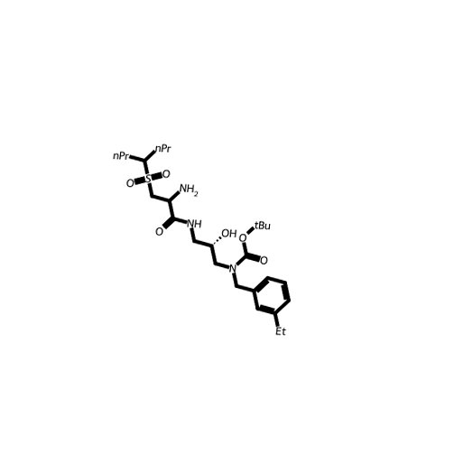 CCCC(CCC)S(=O)(=O)CC(N)C(=O)NC[C@H](O)CN(Cc1cccc(CC)c1)C(=O)OC(C)(C)C